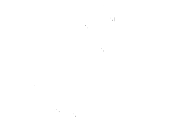 O=c1[nH]nc(Cl)c2cc(N(Cc3ccccc3)c3ncc[nH]3)ccc12